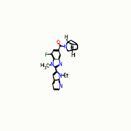 CCn1c(-c2nc3cc(C(=O)N4C[C@H]5CC6C[C@@H]4[C@H]65)cc(F)c3n2C)cc2cccnc21